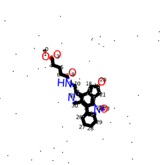 COC(=O)CCCC(=O)NCC1=c2c(c3c(c4c2=CC(=O)C4)[N+](=O)C2=C3CCCC2)C=N1